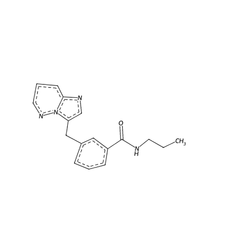 CCCNC(=O)c1cccc(Cc2cnc3cccnn23)c1